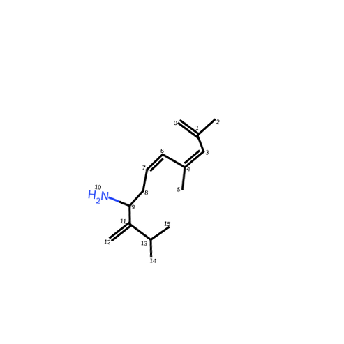 C=C(C)/C=C(C)\C=C/CC(N)C(=C)C(C)C